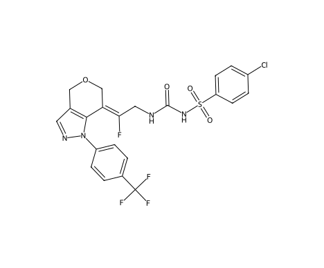 O=C(NCC(F)=C1COCc2cnn(-c3ccc(C(F)(F)F)cc3)c21)NS(=O)(=O)c1ccc(Cl)cc1